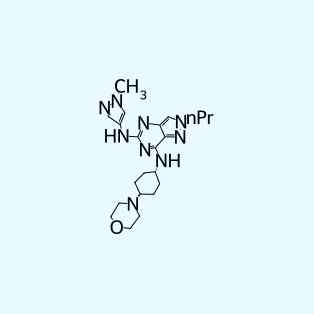 CCCn1cc2nc(Nc3cnn(C)c3)nc(N[C@H]3CC[C@H](N4CCOCC4)CC3)c2n1